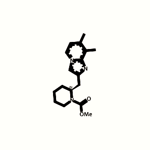 COC(=O)N1CCCC[C@H]1Cc1cn2ccc(C)c(C)c2n1